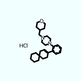 C1=C(c2ccccc2N2CCN(CC3CCOCC3)CC2)CCC2(C1)CCCCC2.Cl